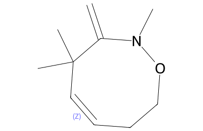 C=C1N(C)OCC/C=C\C1(C)C